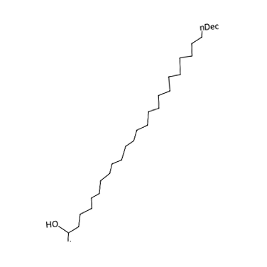 [CH2]C(O)CCCCCCCCCCCCCCCCCCCCCCCCCCCCCCCCC